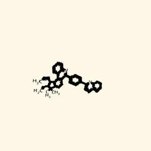 C=CC1=C(/C=C\C)c2c(ccc3c(-c4ccc(-c5ccc6ccccc6n5)cc4)nc4ccccc4c23)C1(C)C